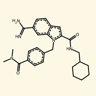 CN(C)C(=O)c1ccc(Cn2c(C(=O)NCC3CCCCC3)cc3ccc(C(=N)N)cc32)cc1